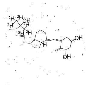 [2H]C([2H])([2H])C(O)([C@@H](C)/C=C/[C@@H](C)[C@H]1CC[C@H]2/C(=C/C=C3/C[C@@H](O)C[C@H](O)C3=C)CCC[C@]12C)C([2H])([2H])[2H]